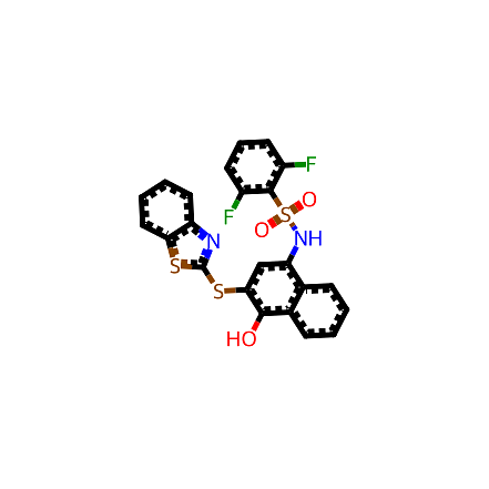 O=S(=O)(Nc1cc(Sc2nc3ccccc3s2)c(O)c2ccccc12)c1c(F)cccc1F